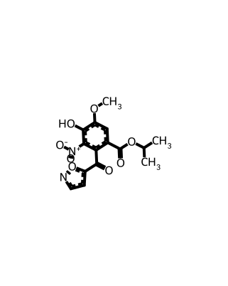 COc1cc(C(=O)OC(C)C)c(C(=O)c2ccno2)c([N+](=O)[O-])c1O